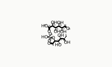 C[C@@H](O)[C@@H](O)[C@H](O)[C@@H](C=O)OS(=O)(=O)O.O=C[C@H](O)[C@@H](O)[C@H](O)[C@H](O)C(=O)O